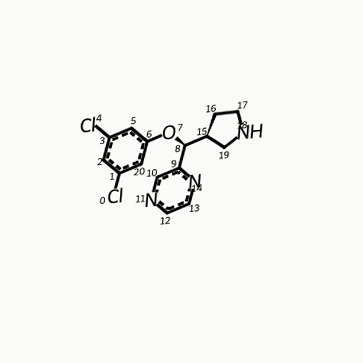 Clc1cc(Cl)cc(O[C@H](c2cnccn2)[C@H]2CCNC2)c1